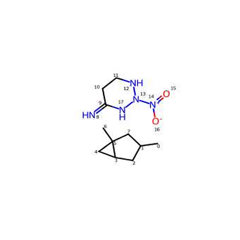 CC1CC2CC2(C)C1.N=C1CCNN([N+](=O)[O-])N1